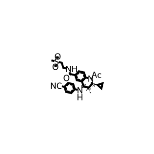 CC(=O)N1c2ccc(C(=O)NCCS(C)(=O)=O)cc2[C@H](Nc2ccc(C#N)cc2)[C@@H](C)[C@@H]1C1CC1